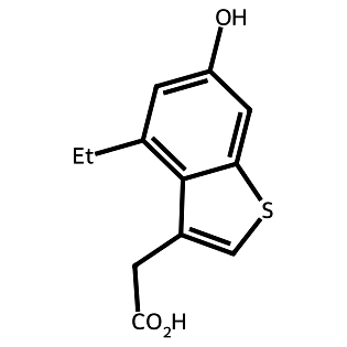 CCc1cc(O)cc2scc(CC(=O)O)c12